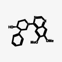 COc1cc2ncnc(N3CC[C@H](O)[C@H](c4ccccc4)C3)c2cc1OC